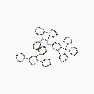 c1ccc(-c2ccc(-c3ccccc3)c(-c3ccc(N(c4ccc5c(c4)-c4ccccc4C5(c4ccccc4)c4ccccc4)c4c(-c5ccccc5)c5ccccc5c5ccccc45)cc3)c2)cc1